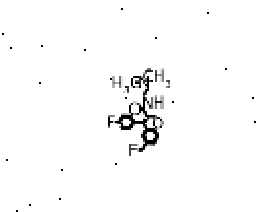 CN(C)CCNC(=O)C1=C(c2ccc(F)cc2)c2cc(CF)ccc2OC1